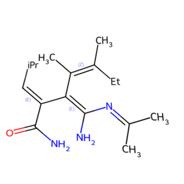 CC\C(C)=C(C)/C(C(=C\C(C)C)/C(N)=O)=C(/N)N=C(C)C